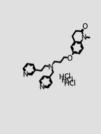 CN1C(=O)CCc2cc(OCCCN(CCc3cccnc3)Cc3ccncc3)ccc21.Cl.Cl.Cl